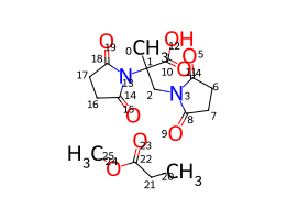 CC(CN1C(=O)CCC1=O)(C(=O)O)N1C(=O)CCC1=O.CCC(=O)OC